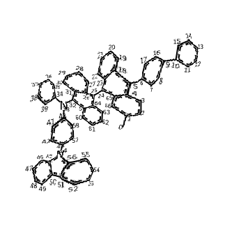 Cc1ccc2c(-c3ccc(-c4ccccc4)cc3)c3ccccc3c(-c3c4ccccc4c(N(c4ccccc4)c4ccc(-n5c6ccccc6c6ccccc65)cc4)c4ccccc34)c2c1